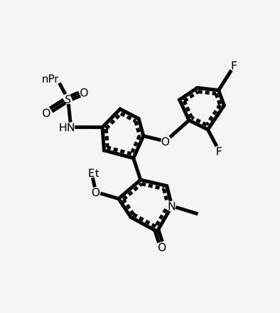 CCCS(=O)(=O)Nc1ccc(Oc2ccc(F)cc2F)c(-c2cn(C)c(=O)cc2OCC)c1